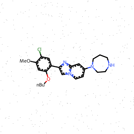 CCCCOc1cc(OC)c(Cl)cc1-c1cn2ccc(N3CCCNCC3)cc2n1